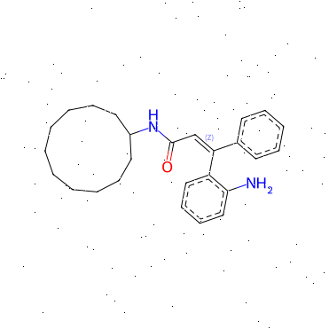 Nc1ccccc1/C(=C\C(=O)NC1CCCCCCCCCC1)c1ccccc1